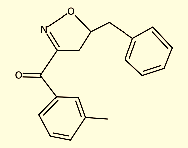 Cc1cccc(C(=O)C2=NOC(Cc3ccccc3)C2)c1